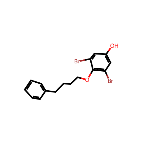 Oc1cc(Br)c(OCCCCc2ccccc2)c(Br)c1